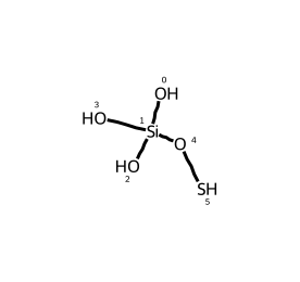 O[Si](O)(O)OS